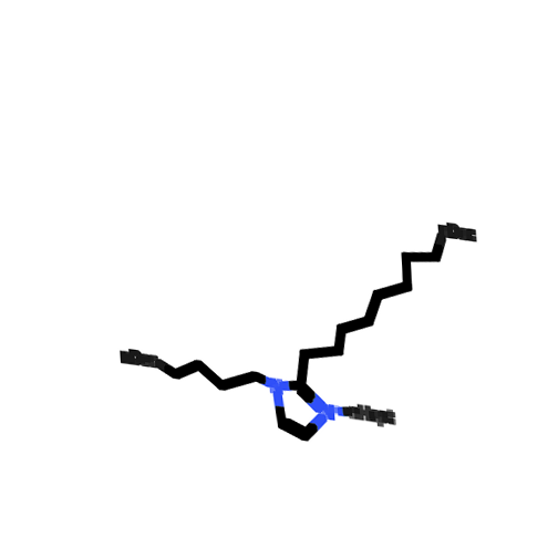 CCCCCCCCCCCCCCCCCCc1n(CCCCCCCCCCCCCC)cc[n+]1CCCCCCC